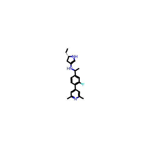 CC[C@H]1CC(NC(C)c2ccc(-c3cc(C)nc(C)c3)c(F)c2)=CN1